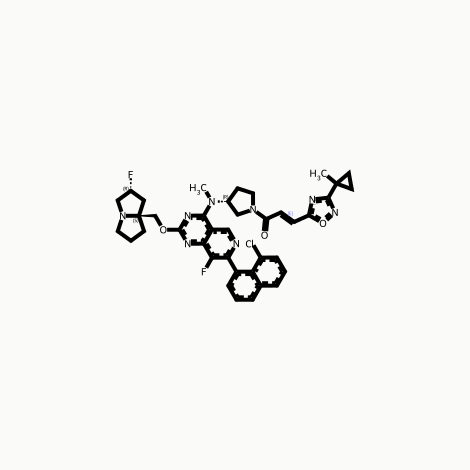 CN(c1nc(OC[C@@]23CCCN2C[C@H](F)C3)nc2c(F)c(-c3cccc4cccc(Cl)c34)ncc12)[C@@H]1CCN(C(=O)/C=C/c2nc(C3(C)CC3)no2)C1